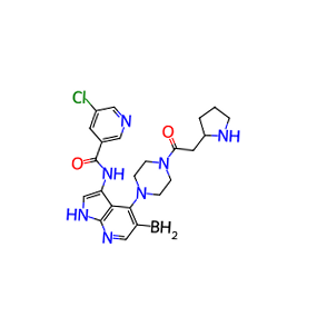 Bc1cnc2[nH]cc(NC(=O)c3cncc(Cl)c3)c2c1N1CCN(C(=O)CC2CCCN2)CC1